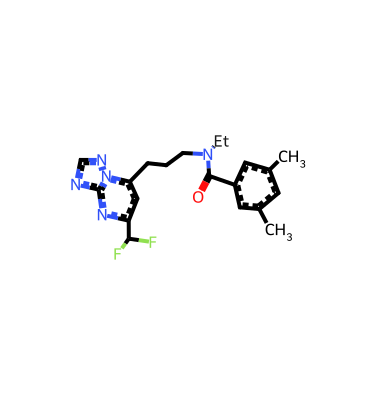 CCN(CCCc1cc(C(F)F)nc2ncnn12)C(=O)c1cc(C)cc(C)c1